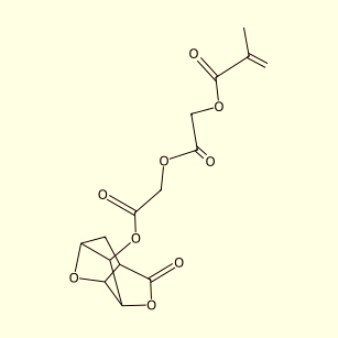 C=C(C)C(=O)OCC(=O)OCC(=O)OC1C2CC3C(=O)OC1C3O2